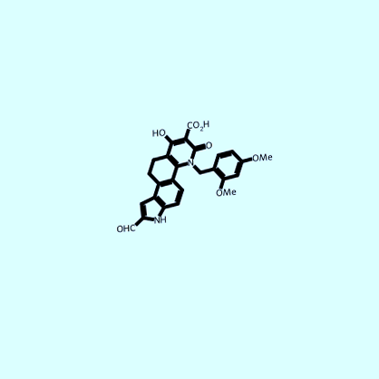 COc1ccc(Cn2c3c(c(O)c(C(=O)O)c2=O)CCc2c-3ccc3[nH]c(C=O)cc23)c(OC)c1